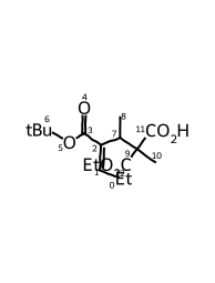 CCC=C(C(=O)OC(C)(C)C)C(C)C(C)(C(=O)O)C(=O)OCC